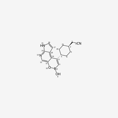 N#CC[C@H]1CC[C@H](C2=CB(O)Oc3cnc4[nH]ccc4c32)CC1